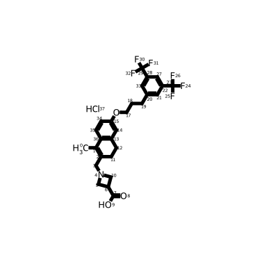 CC1=C(CN2CC(C(=O)O)C2)CCc2cc(OCCCc3cc(C(F)(F)F)cc(C(F)(F)F)c3)ccc21.Cl